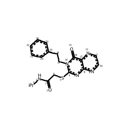 CC(C)NC(=O)CSc1nc2nccnc2c(=O)n1CCc1ccccc1